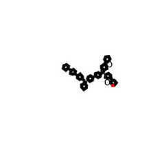 c1ccc(-c2ccc(-c3ccc(N(c4ccccc4)c4ccc(-c5ccc(N(c6ccc7c(c6)oc6ccccc67)c6ccc7c(c6)oc6ccccc67)cc5)cc4)cc3)cc2)cc1